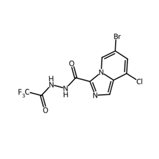 O=C(NNC(=O)C(F)(F)F)c1ncc2c(Cl)cc(Br)cn12